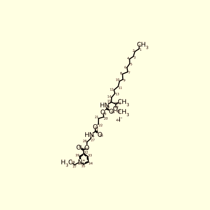 CCCCCCCCCCCCCCCC(NC(=O)OCCCOC(=O)NCCOC(=O)c1ccc[n+](CC)c1)C(C)OC.[I-]